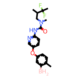 Bc1cc(Oc2ccc(NC(=O)N(C)CC(C)C(C)(F)F)nc2)ccc1C